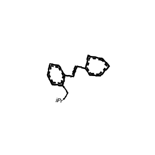 CC(C)Cc1ccccc1C=Cc1ccccc1